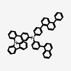 c1ccc(-c2cccc3c(-c4ccc(N(c5ccc(-c6ccccc6-n6c7ccccc7c7ccccc76)cc5)c5cccc(-c6cccc7ccccc67)c5)cc4)cccc23)cc1